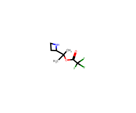 CC(C)(OC(=O)C(F)(F)F)C1CCN1